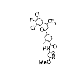 COC1=NOC(NC(=O)c2ccc(C(=O)C=C(c3cc(Cl)c(F)c(Cl)c3)C(F)(F)F)cc2C)C1